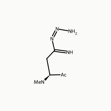 CN[C@@H](CC(=N)/N=N\N)C(C)=O